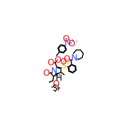 CC(O[Si](C)(C)C)C1C(=O)N2C(C(=O)OCc3ccc([N+](=O)[O-])cc3)=C([S+]([O-])c3ccccc3C(=O)N3CCCCCC3)C(C)[C@@H]12